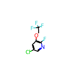 Fc1ncc(Cl)cc1OCC(F)(F)F